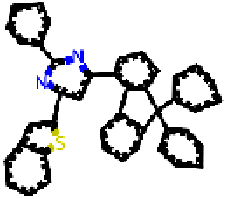 c1ccc(-c2nc(-c3cc4ccccc4s3)cc(-c3cccc4c3-c3ccccc3C4(c3ccccc3)c3ccccc3)n2)cc1